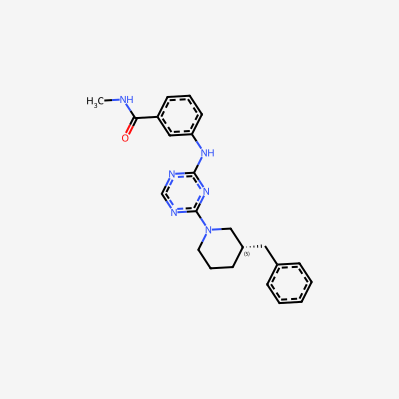 CNC(=O)c1cccc(Nc2ncnc(N3CCC[C@@H](Cc4ccccc4)C3)n2)c1